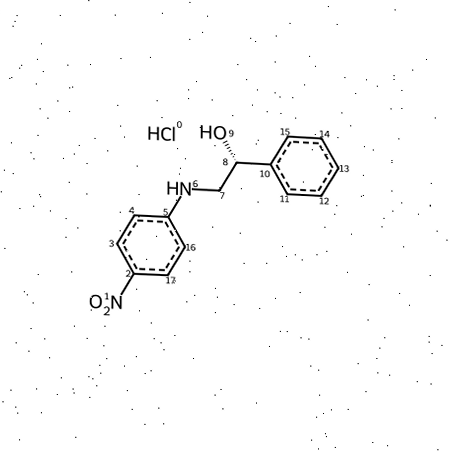 Cl.O=[N+]([O-])c1ccc(NC[C@H](O)c2ccccc2)cc1